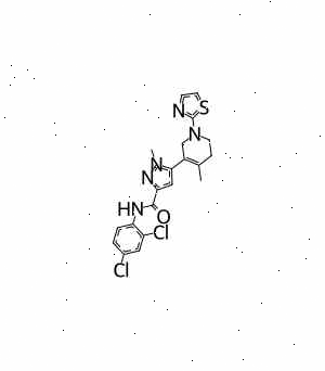 CC1=C(c2cc(C(=O)Nc3ccc(Cl)cc3Cl)nn2C)CN(c2nccs2)CC1